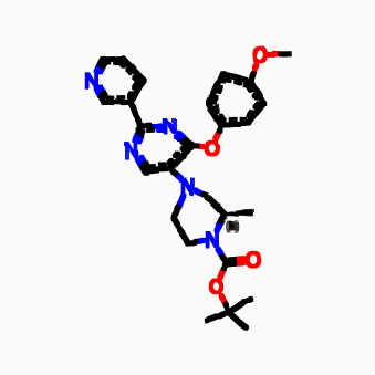 COc1ccc(Oc2nc(-c3cccnc3)ncc2N2CCN(C(=O)OC(C)(C)C)[C@H](C)C2)cc1